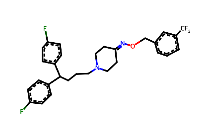 Fc1ccc(C(CCCN2CCC(=NOCc3cccc(C(F)(F)F)c3)CC2)c2ccc(F)cc2)cc1